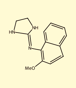 COc1ccc2ccccc2c1N=C1NCCN1